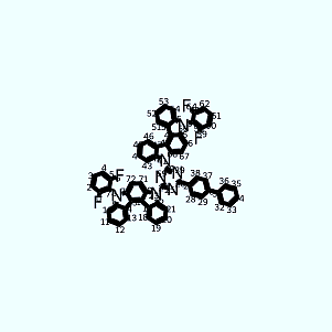 Fc1cccc(F)c1-n1c2ccccc2c2c3c4ccccc4n(-c4nc(-c5ccc(-c6ccccc6)cc5)nc(-n5c6ccccc6c6c7c8ccccc8n(-c8c(F)cccc8F)c7ccc65)n4)c3ccc21